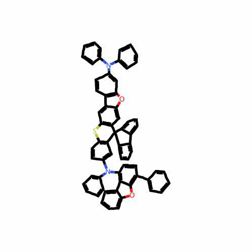 c1ccc(-c2ccc(N(c3ccccc3)c3ccc4c(c3)C3(c5cc6oc7cc(N(c8ccccc8)c8ccccc8)ccc7c6cc5S4)c4ccccc4-c4ccccc43)c3c2oc2ccccc23)cc1